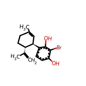 C=C(C)[C@@H]1CCC(C)=C[C@H]1c1ccc(O)c(Br)c1O